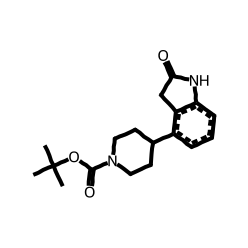 CC(C)(C)OC(=O)N1CCC(c2cccc3c2CC(=O)N3)CC1